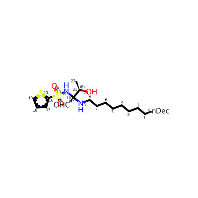 CCCCCCCCCCCCCCCCCCN[C@](C=O)(NS(=O)(=O)c1cccs1)[C@@H](C)O